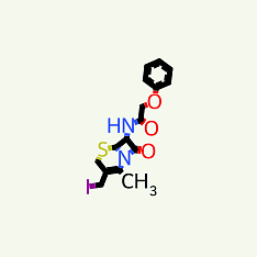 CC1=C(CI)CSC2C(NC(=O)COc3ccccc3)C(=O)N12